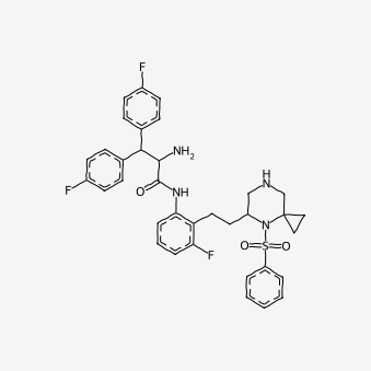 NC(C(=O)Nc1cccc(F)c1CCC1CNCC2(CC2)N1S(=O)(=O)c1ccccc1)C(c1ccc(F)cc1)c1ccc(F)cc1